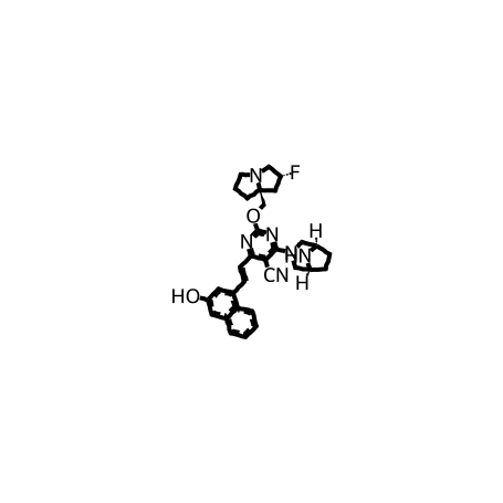 N#Cc1c(/C=C/c2cc(O)cc3ccccc23)nc(OC[C@@]23CCCN2C[C@H](F)C3)nc1N1C[C@H]2CC[C@@H](C1)N2